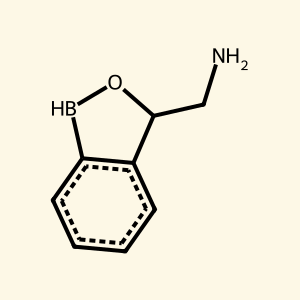 NCC1OBc2ccccc21